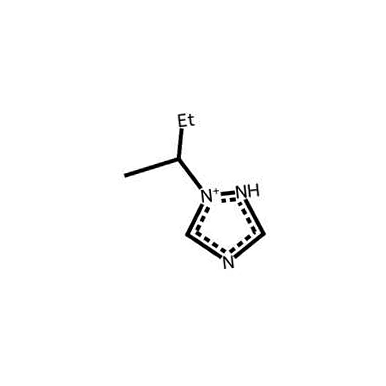 CCC(C)[n+]1cnc[nH]1